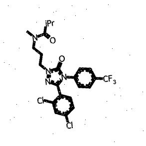 CC(C)C(=O)N(C)CCCn1nc(-c2ccc(Cl)cc2Cl)n(-c2ccc(C(F)(F)F)cc2)c1=O